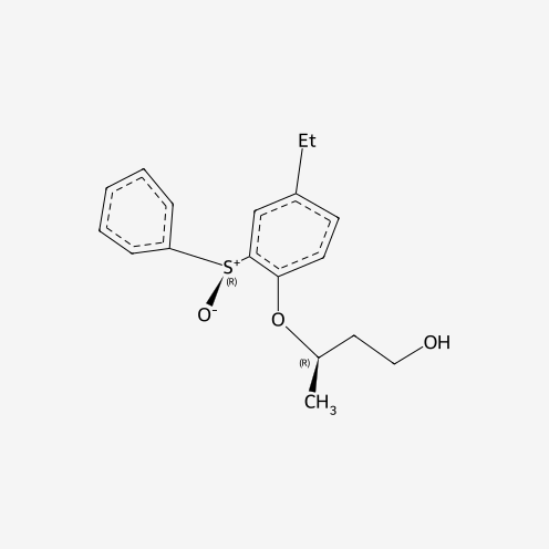 CCc1ccc(O[C@H](C)CCO)c([S@@+]([O-])c2ccccc2)c1